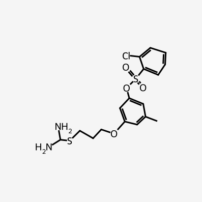 Cc1cc(OCCCSC(N)N)cc(OS(=O)(=O)c2ccccc2Cl)c1